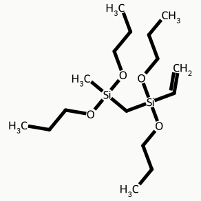 C=C[Si](C[Si](C)(OCCC)OCCC)(OCCC)OCCC